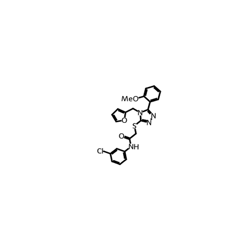 COc1ccccc1-c1nnc(SCC(=O)Nc2cccc(Cl)c2)n1Cc1ccco1